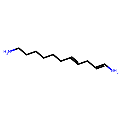 NC=CCC=CCCCCCCN